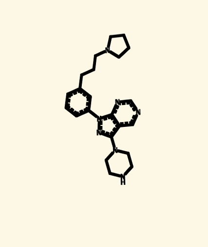 c1cc(CCCN2CCCC2)cc(-n2nc(N3CCNCC3)c3cncnc32)c1